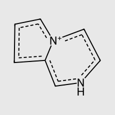 c1cc2c[nH]cc[n+]-2c1